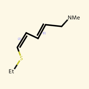 CCS/C=C\C=C\CNC